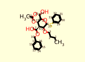 CCCCOC1[C@@H](C(O)OCc2ccccc2)[C@H](OC(C)=O)C(CO)O[C@@H]1Sc1ccccc1